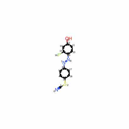 N#CSc1ccc(N=Nc2ccc(O)cc2F)cc1